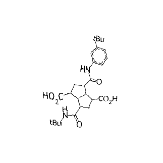 CC(C)(C)NC(=O)C1CC(C(=O)O)C2C(C(=O)Nc3cccc(C(C)(C)C)c3)CC(C(=O)O)C12